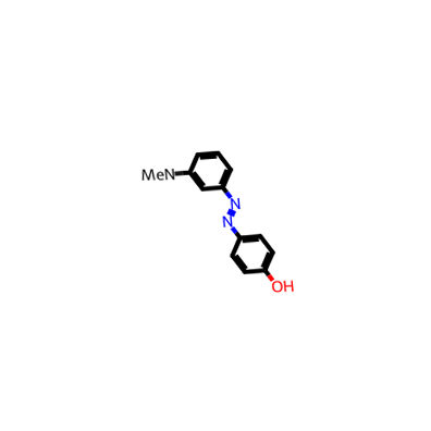 CNc1cccc(N=Nc2ccc(O)cc2)c1